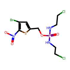 O=[N+]([O-])c1sc(COP(=O)(NCCCl)NCCCl)cc1Br